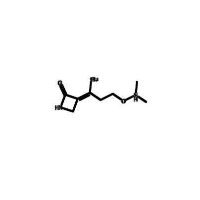 C[SiH](C)OCC/C(=C1\CNC1=O)C(C)(C)C